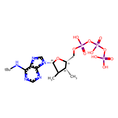 CC1[C@@H](C)[C@@H](COP(=O)(O)OP(=O)(O)OP(=O)(O)O)O[C@H]1n1cnc2c(NC(C)(C)C)ncnc21